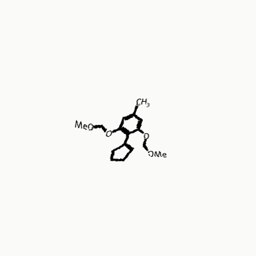 COCOc1cc(C)cc(OCOC)c1C1CCCC1